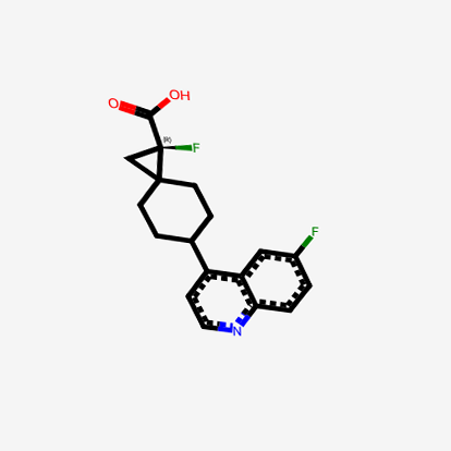 O=C(O)[C@@]1(F)CC12CCC(c1ccnc3ccc(F)cc13)CC2